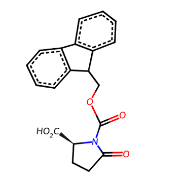 O=C(O)[C@@H]1CCC(=O)N1C(=O)OCC1c2ccccc2-c2ccccc21